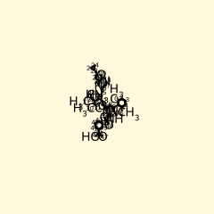 Cc1cccc(C)c1-c1cc(OCC(NCc2cnc3oc(C4CC4)cc3n2)C(C(C)C)C(C)C)nc(NS(=O)(=O)c2cccc(C(=O)O)c2)n1